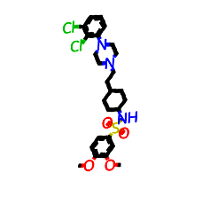 COc1ccc(S(=O)(=O)NC2CCC(CCN3CCN(c4cccc(Cl)c4Cl)CC3)CC2)cc1OC